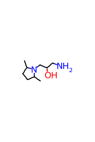 CC1CCC(C)N1C[C@H](O)CN